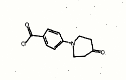 O=C1CCN(c2ccc(C(=O)Cl)cc2)CC1